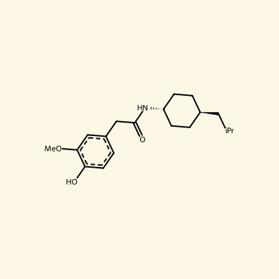 COc1cc(CC(=O)N[C@H]2CC[C@H](CC(C)C)CC2)ccc1O